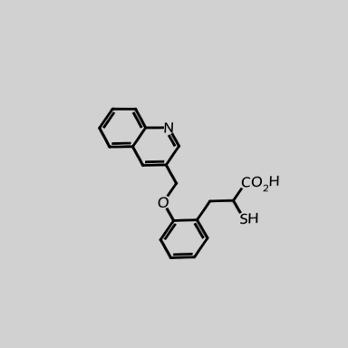 O=C(O)C(S)Cc1ccccc1OCc1cnc2ccccc2c1